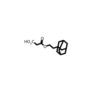 O=C(O)CC(=O)OCCC12CC3CC(CC(C3)C1)C2